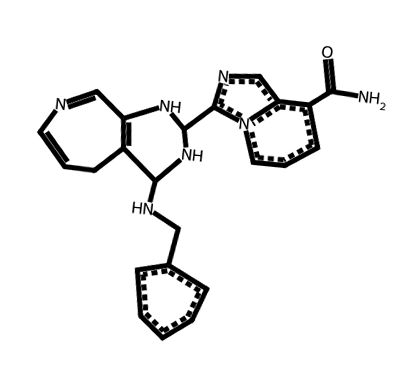 NC(=O)c1cccn2c(C3NC4=C(CC=CN=C4)C(NCc4ccccc4)N3)ncc12